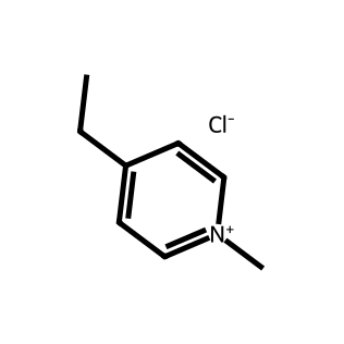 CCc1cc[n+](C)cc1.[Cl-]